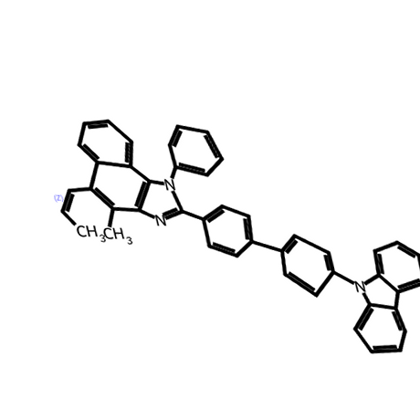 C/C=C\c1c(C)c2nc(-c3ccc(-c4ccc(-n5c6ccccc6c6ccccc65)cc4)cc3)n(-c3ccccc3)c2c2ccccc12